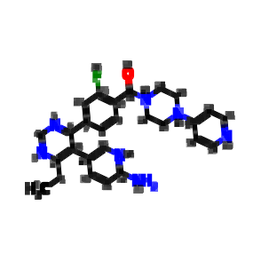 CCc1ncnc(-c2ccc(C(=O)N3CCN(c4ccncc4)CC3)c(F)c2)c1-c1ccc(N)nc1